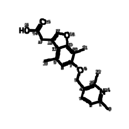 Cc1ccc(COc2cc(C)c3c(CC(=O)O)coc3c2C)c(C)n1